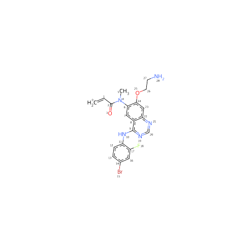 C=CC(=O)N(C)c1cc2c(Nc3ccc(Br)cc3F)ncnc2cc1OCCN